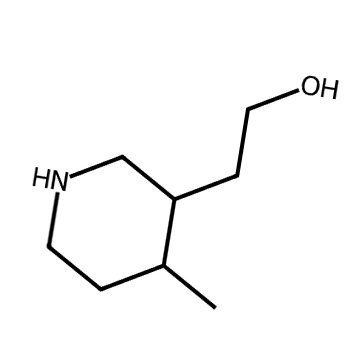 CC1CCNCC1CCO